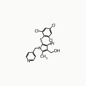 Cc1c(CO)c(C(C)C)c(Sc2c(Cl)cc(Cl)cc2Cl)n1Cc1ccncc1